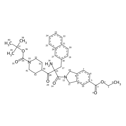 CCOC(=O)c1ccc2c(c1)CN(C(=O)C(N)(Cc1ccc3ccccc3c1)C(=O)C1CCN(C(=O)OC(C)(C)C)CC1)C2